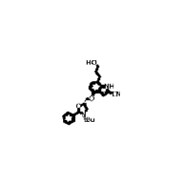 CC(C)(C)N1C[C@@H](COc2ccc(CCCO)c3[nH]c(C#N)cc23)OC1c1ccccc1